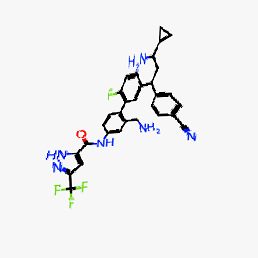 N#Cc1ccc(C(CC(N)C2CC2)c2ccc(F)c(-c3ccc(NC(=O)c4cc(C(F)(F)F)n[nH]4)cc3CN)c2)cc1